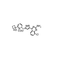 Nc1nc(-c2cn(Cc3cccc(C4(O)CCC4)[n+]3C(=O)[O-])nn2)c2cccc(Cl)c2n1